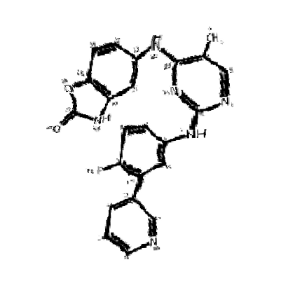 Cc1cnc(Nc2ccc(F)c(-c3cccnc3)c2)nc1Nc1ccc2oc(=O)[nH]c2c1